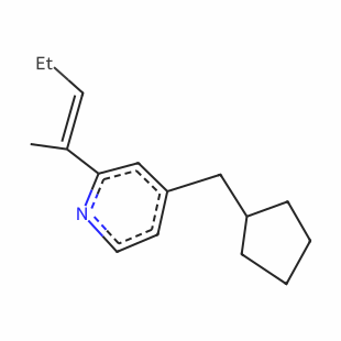 CC/C=C(\C)c1cc(CC2CCCC2)ccn1